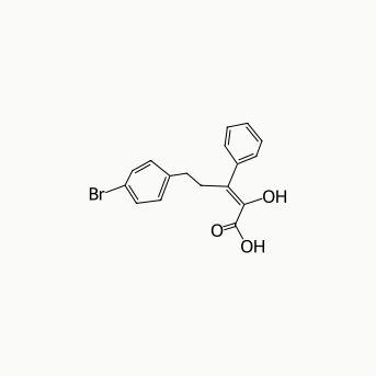 O=C(O)/C(O)=C(\CCc1ccc(Br)cc1)c1ccccc1